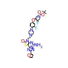 CC(C)(C)OC(=O)N1C[C@H](Oc2ccc(N3CCN(CCn4c(=O)sc5c4nc(N)n4nc(-c6ccco6)nc54)CC3)c(F)c2)[C@@H](F)C1